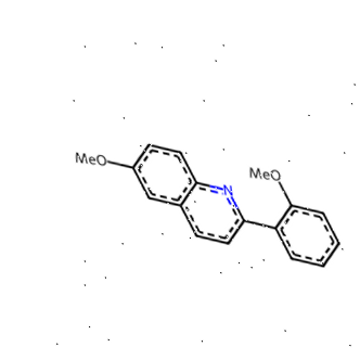 COc1ccc2nc(-c3ccccc3OC)ccc2c1